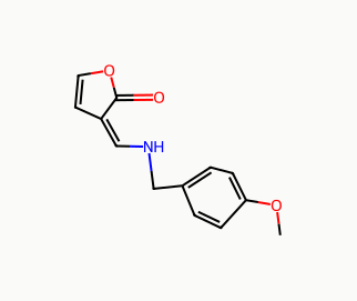 COc1ccc(CNC=C2C=COC2=O)cc1